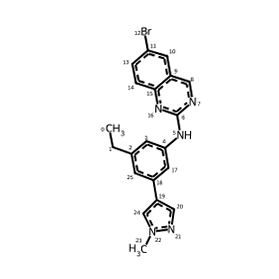 CCc1cc(Nc2ncc3cc(Br)ccc3n2)cc(-c2cnn(C)c2)c1